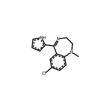 CN1CCN=C(c2ccc[nH]2)c2cc(Cl)ccc21